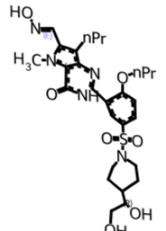 CCCOc1ccc(S(=O)(=O)N2CCC([C@@H](O)CO)CC2)cc1-c1nc2c(CCC)c(/C=N/O)n(C)c2c(=O)[nH]1